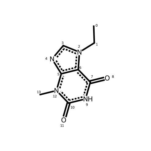 CCn1[c]nc2c1c(=O)[nH]c(=O)n2C